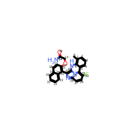 Cc1cccc2c1Nc1c(-c3c(OCC(N)=O)ccc4ccccc34)nc3ccc(F)c-2n13